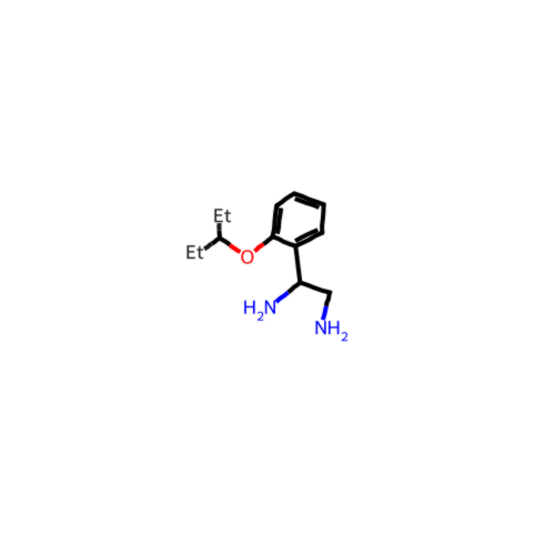 CCC(CC)Oc1ccccc1C(N)CN